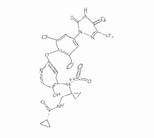 O=C(NCC1(N(c2cc(Oc3c(Cl)cc(-n4nc(C(F)(F)F)c(=O)[nH]c4=O)cc3Cl)ncc2O)[SH](=O)=O)CC1)C1CC1